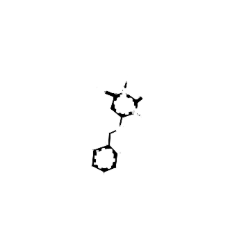 Cn1c(SCc2ccccc2)cc(=O)n(C)c1=O